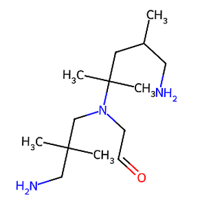 CC(CN)CC(C)(C)N(CC=O)CC(C)(C)CN